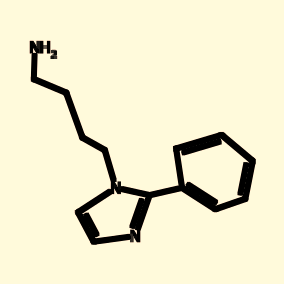 NCCCCn1ccnc1-c1ccccc1